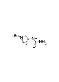 CC(C)(C)[n+]1csc(NC(N)=O)c1